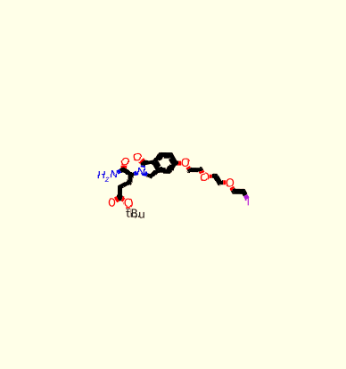 CC(C)(C)OC(=O)CCC(C(N)=O)N1Cc2cc(OCCOCCOCCI)ccc2C1=O